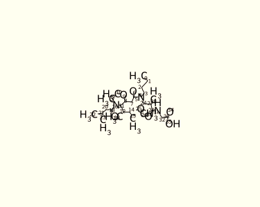 CCCCN(C(=O)CC(OC)C(C(C)CC)N(C)C(=O)CC(C)C)C(OC)C(C)C(=O)NCC(=O)O